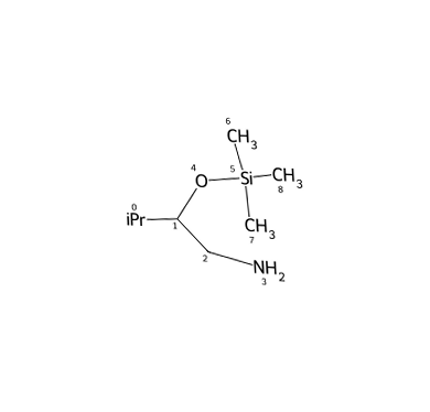 CC(C)C(CN)O[Si](C)(C)C